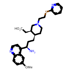 COc1ccc2nccc([C@H](N)CC[C@@H]3CCN(CCSc4ccccn4)C[C@@H]3CC(=O)O)c2c1